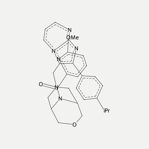 COc1cccc(C(=O)N2C3COCC2CN(Cc2c(-c4ccc(C(C)C)cc4)nc4ncccn24)C3)n1